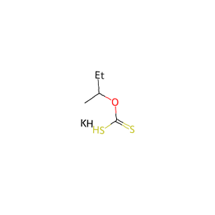 CCC(C)OC(=S)S.[KH]